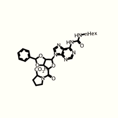 CCCCCCNC(=O)Nc1ncnc2c1ncn2C1OC(C(=O)N2CCCC2C(=O)O)C2OC(c3ccccc3)OC21